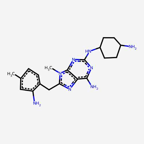 Cc1ccc(Cc2nc3c(N)nc(NC4CCC(N)CC4)nc3n2C)c(N)c1